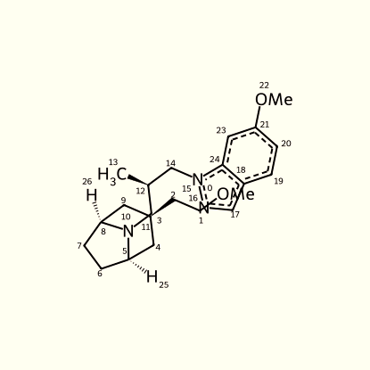 COCC[C@H]1C[C@H]2CC[C@@H](C1)N2C[C@@H](C)Cn1ncc2ccc(OC)cc21